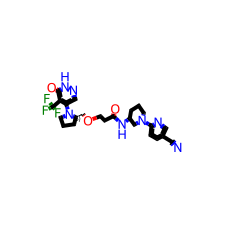 N#Cc1ccc(N2CCCC(NC(=O)CCOC[C@@H]3CCCN3c3cn[nH]c(=O)c3C(F)(F)F)C2)nc1